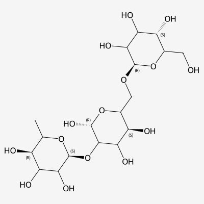 CC1O[C@@H](OC2C(O)[C@H](O)C(CO[C@@H]3OC(CO)[C@@H](O)C(O)C3O)O[C@H]2O)C(O)C(O)[C@H]1O